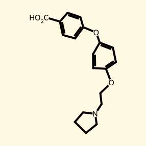 O=C(O)c1ccc(Oc2ccc(OCCN3CCCC3)cc2)cc1